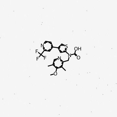 COc1c(C)cnc(CN(C(=O)O)c2cc(-c3ccnc(C(F)(F)F)c3)cs2)c1C